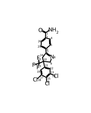 NC(=O)c1ccc(C2=NCC(c3cc(Cl)c(Cl)c(Cl)c3)(C(F)(F)F)C2)cc1